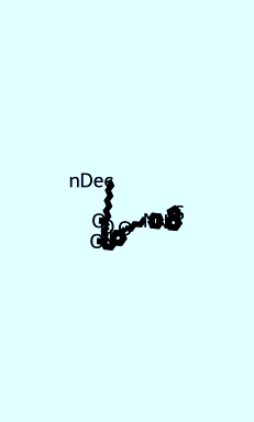 CCCCCCCCCCCCCCCCCC(=O)OCn1c(=O)ccc2ccc(OCCCCN3CCN(c4cccc5sccc45)CC3)cc21